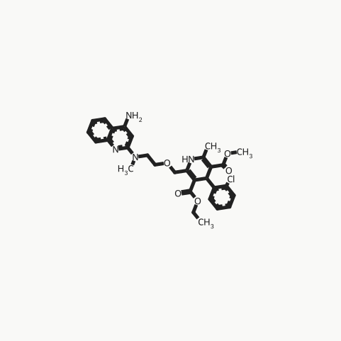 CCOC(=O)C1=C(COCCN(C)c2cc(N)c3ccccc3n2)NC(C)=C(C(=O)OC)C1c1ccccc1Cl